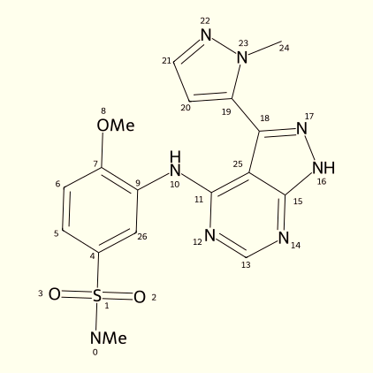 CNS(=O)(=O)c1ccc(OC)c(Nc2ncnc3[nH]nc(-c4ccnn4C)c23)c1